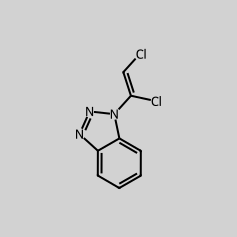 Cl/C=C(\Cl)n1nnc2ccccc21